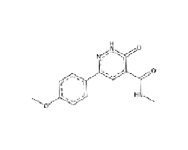 CNC(=O)c1cc(-c2ccc(OC)cc2)n[nH]c1=O